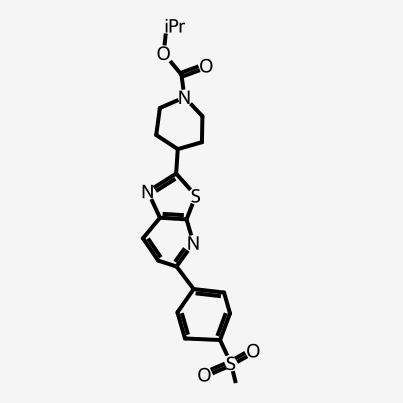 CC(C)OC(=O)N1CCC(c2nc3ccc(-c4ccc(S(C)(=O)=O)cc4)nc3s2)CC1